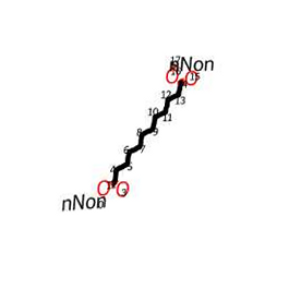 CCCCCCCCCOC(=O)CCCCCCCCCCC(=O)OCCCCCCCCC